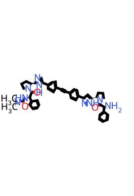 CN(C)C(=O)N[C@@H](C(=O)N1CCC[C@H]1c1ncc(-c2ccc(C#Cc3ccc(-c4cc([C@@H]5CCCN5C(=O)[C@H](N)c5ccccc5)[nH]n4)cc3)cc2)[nH]1)c1ccccc1